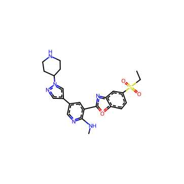 CCS(=O)(=O)c1ccc2oc(-c3cc(-c4cnn(C5CCNCC5)c4)cnc3NC)nc2c1